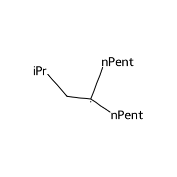 CCCCC[C](CCCCC)CC(C)C